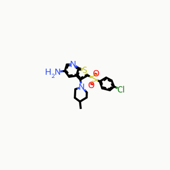 CC1CCN(c2c(S(=O)(=O)c3ccc(Cl)cc3)sc3ncc(N)cc23)CC1